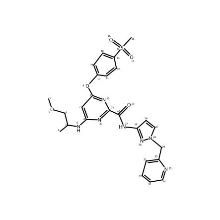 COCC(C)Nc1cc(Oc2ccc(S(C)(=O)=O)cc2)nc(C(=O)Nc2ccn(Cc3ccccn3)n2)n1